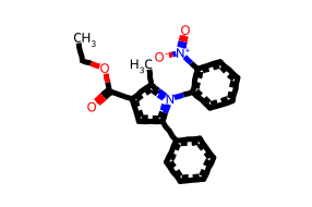 CCOC(=O)c1cc(-c2ccccc2)n(-c2ccccc2[N+](=O)[O-])c1C